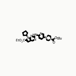 CCOC(=O)c1cc2cnc(Nc3ccc(N4CCN(C(=O)OC(C)(C)C)CC4)cn3)nc2n1C1CCCC1